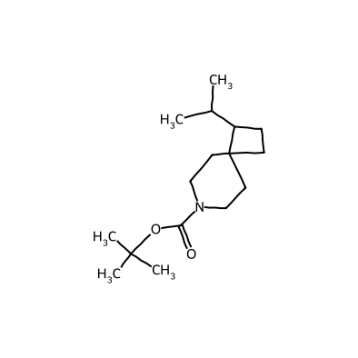 CC(C)C1CCC12CCN(C(=O)OC(C)(C)C)CC2